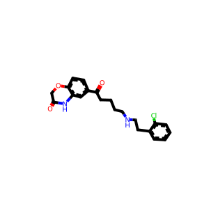 O=C1COc2ccc(C(=O)CCCCNCCc3ccccc3Cl)cc2N1